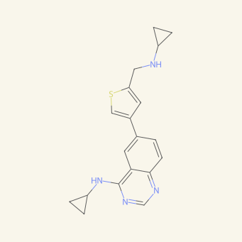 c1nc(NC2CC2)c2cc(-c3csc(CNC4CC4)c3)ccc2n1